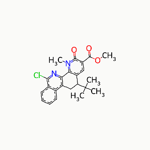 COC(=O)c1cc2c(n(C)c1=O)-c1nc(Cl)c3ccccc3c1CC2C(C)(C)C